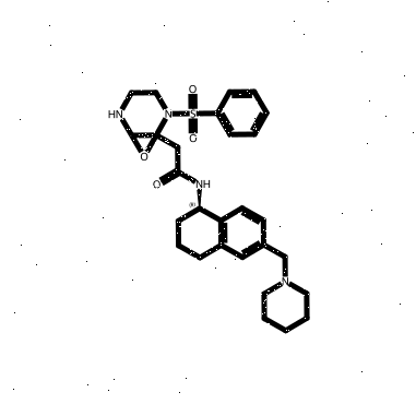 O=C(CC12OC1NCCN2S(=O)(=O)c1ccccc1)N[C@@H]1CCCc2cc(CN3CCCCC3)ccc21